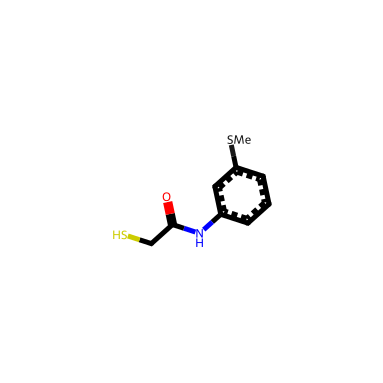 CSc1cccc(NC(=O)CS)c1